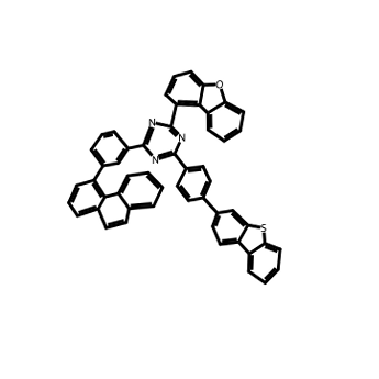 c1cc(-c2nc(-c3ccc(-c4ccc5c(c4)sc4ccccc45)cc3)nc(-c3cccc4oc5ccccc5c34)n2)cc(-c2cccc3ccc4ccccc4c23)c1